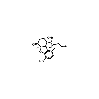 C=CCN1CC[C@]23c4c(C)ccc(O)c4O[C@H]2C(=O)CC[C@@]3(O)[C@H]1C